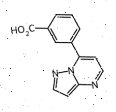 O=C(O)c1cccc(-c2ccnc3ccnn23)c1